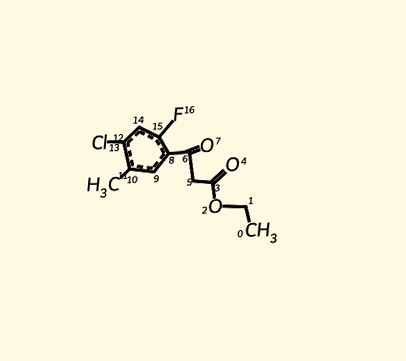 CCOC(=O)CC(=O)c1cc(C)c(Cl)cc1F